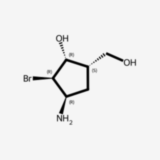 N[C@@H]1C[C@@H](CO)[C@@H](O)[C@@H]1Br